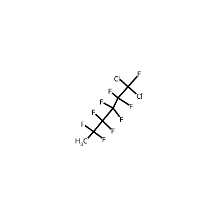 CC(F)(F)C(F)(F)C(F)(F)C(F)(F)C(F)(Cl)Cl